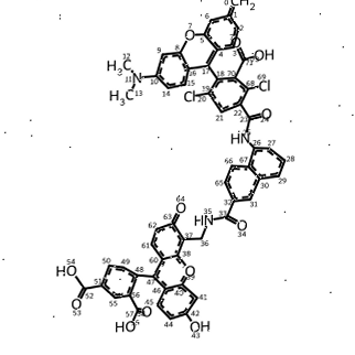 C=c1ccc2c(c1)Oc1cc(N(C)C)ccc1C=2c1c(Cl)cc(C(=O)Nc2cccc3cc(C(=O)NCc4c5oc6cc(O)ccc6c(-c6ccc(C(=O)O)cc6C(=O)O)c-5ccc4=O)ccc23)c(Cl)c1C(=O)O